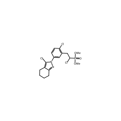 COP(=O)(OC)C(Cl)Cc1cc(-n2nc3c(c2Cl)CCCC3)ccc1Cl